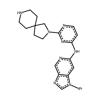 CC(C)n1cnc2cnc(Nc3ccnc(N4CCC5(CCNCC5)C4)n3)cc21